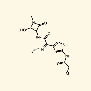 CON=C(C(=O)NC1C(=O)N(C)C1O)c1csc(NC(=O)CCl)n1